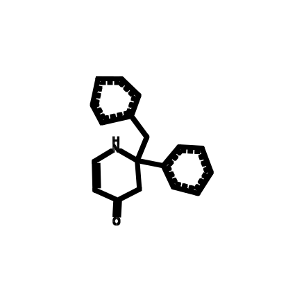 O=C1C=CNC(Cc2ccccc2)(c2ccccc2)C1